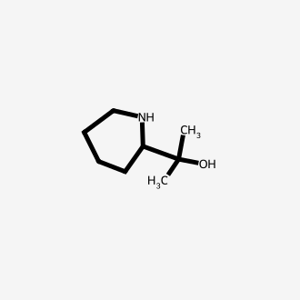 CC(C)(O)C1CCCCN1